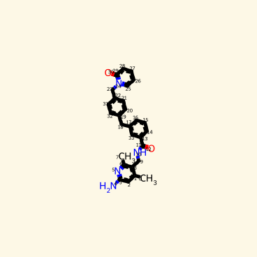 Cc1cc(N)nc(C)c1CNC(=O)c1cccc(Cc2ccc(Cn3ccccc3=O)cc2)c1